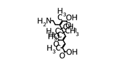 CC(=CC(=CC(C)(C)C(C)(C)C(CCN)=C(C)C(=O)O)C(=O)O)C(=O)O